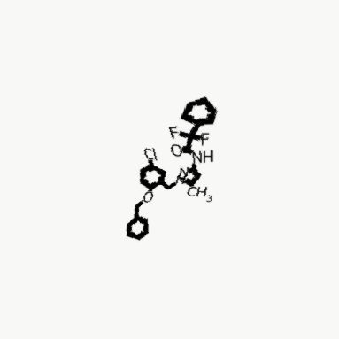 Cc1cc(NC(=O)C(F)(F)c2ccccc2)nn1Cc1cc(Cl)ccc1OCc1ccccc1